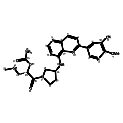 COc1ncc(-c2ccc3ncnc(N[C@H]4CCN(C(=O)[C@H](C[Se]C)OC(N)=O)C4)c3n2)cc1C#N